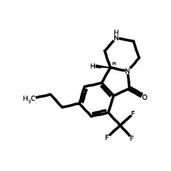 CCCc1cc2c(c(C(F)(F)F)c1)C(=O)N1CCNC[C@@H]21